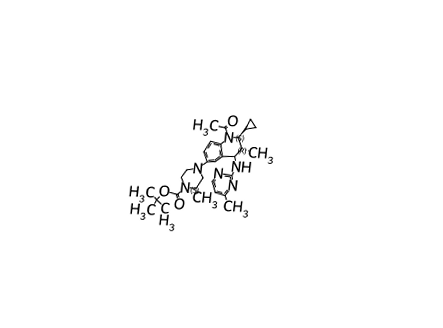 CC(=O)N1c2ccc(N3CCN(C(=O)OC(C)(C)C)[C@@H](C)C3)cc2C(Nc2nccc(C)n2)[C@@H](C)[C@@H]1C1CC1